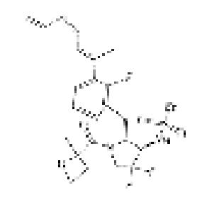 C=C/C=C\C=C(/C)c1cccc(C[C@H]2[C@@H](NS(=O)(=O)CC)C(F)(F)CN2C(=O)C2(C)CCO2)c1F